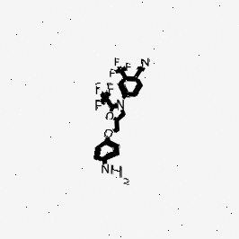 N#Cc1ccc(N2CC(COc3ccc(N)cc3)OC2C(F)(F)F)cc1C(F)(F)F